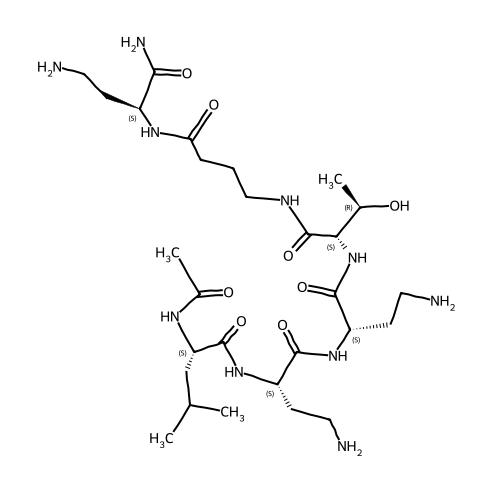 CC(=O)N[C@@H](CC(C)C)C(=O)N[C@@H](CCN)C(=O)N[C@@H](CCN)C(=O)N[C@H](C(=O)NCCCC(=O)N[C@@H](CCN)C(N)=O)[C@@H](C)O